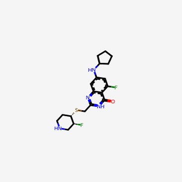 O=c1[nH]c(CS[C@H]2CCNC[C@@H]2F)nc2cc(NC3CCCC3)cc(F)c12